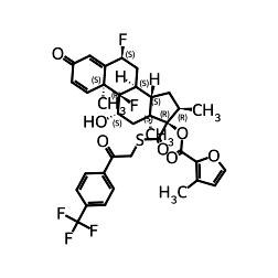 Cc1ccoc1C(=O)O[C@]1(C(=O)SCC(=O)c2ccc(C(F)(F)F)cc2)[C@H](C)C[C@H]2[C@@H]3C[C@H](F)C4=CC(=O)C=C[C@]4(C)[C@@]3(F)[C@@H](O)C[C@@]21C